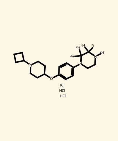 Cl.Cl.Cl.[2H]N1CCN(c2ccc(OC3CCN(C4CCC4)CC3)cc2)C([2H])([2H])C1([2H])[2H]